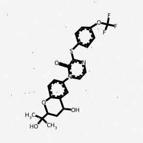 CC(C)(O)C1CC(O)c2cc(-n3ccnc(Sc4ccc(OC(F)(F)F)cc4)c3=O)ccc2O1